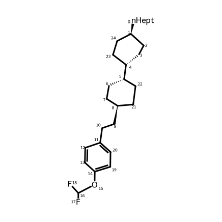 CCCCCCC[C@H]1CC[C@H]([C@H]2CC[C@H](CCc3ccc(OC(F)F)cc3)CC2)CC1